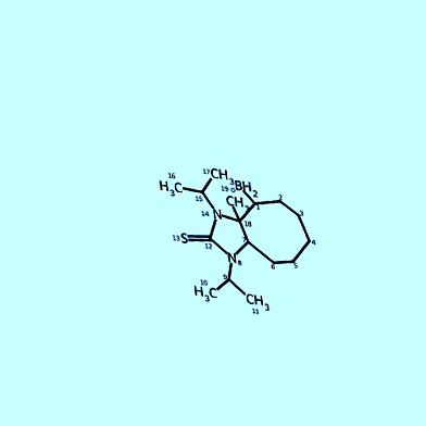 BC1CCCCCC2N(C(C)C)C(=S)N(C(C)C)C12C